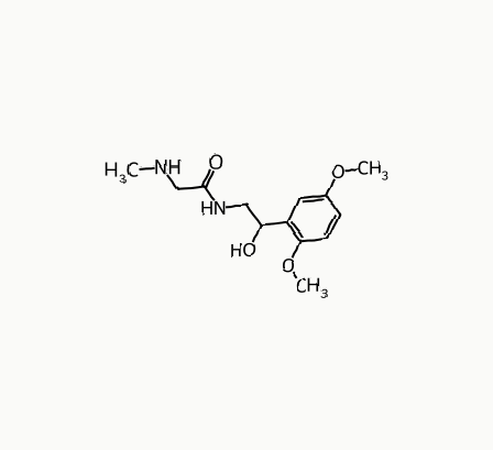 CNCC(=O)NCC(O)c1cc(OC)ccc1OC